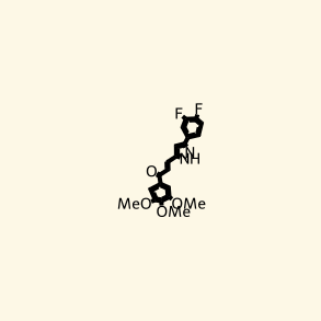 COc1cc(C(=O)/C=C/c2cc(-c3ccc(F)c(F)c3)n[nH]2)cc(OC)c1OC